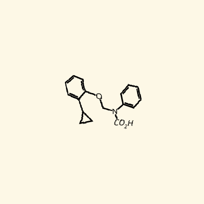 O=C(O)N(COc1ccccc1C1CC1)c1ccccc1